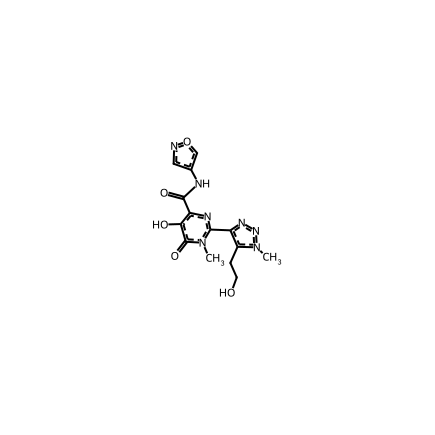 Cn1nnc(-c2nc(C(=O)Nc3cnoc3)c(O)c(=O)n2C)c1CCO